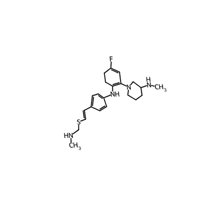 CNCS/C=C/c1ccc(NC2=C(N3CCCC(NC)C3)C=C(F)CC2)cc1